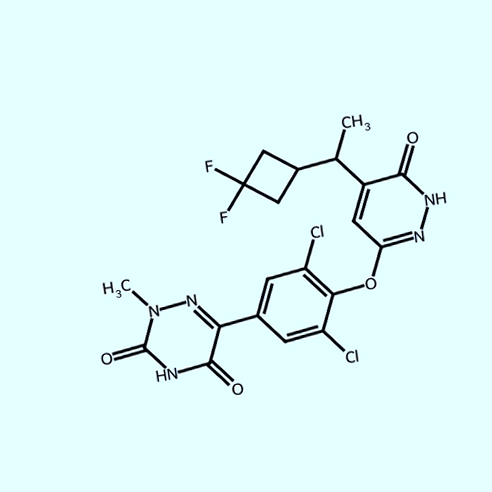 CC(c1cc(Oc2c(Cl)cc(-c3nn(C)c(=O)[nH]c3=O)cc2Cl)n[nH]c1=O)C1CC(F)(F)C1